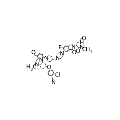 CNC(=O)C(CCC=O)N1Cc2cc(F)c(N3CCN(CC4CCN(c5ccc(C=O)c(CN(C)[C@H]6CC[C@H](Oc7ccc(C#N)c(Cl)c7)CC6)n5)CC4)CC3)cc2C1=O